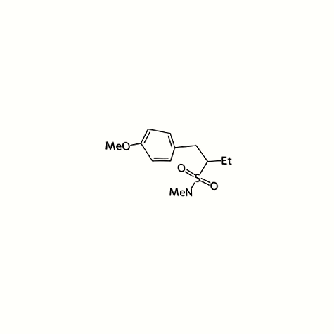 CCC(Cc1ccc(OC)cc1)S(=O)(=O)NC